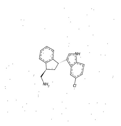 NC[C@@H]1C[C@@H](c2c[nH]c3ccc(Cl)cc23)c2ccccc21